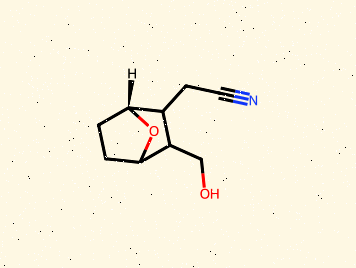 N#CCC1C(CO)C2CC[C@H]1O2